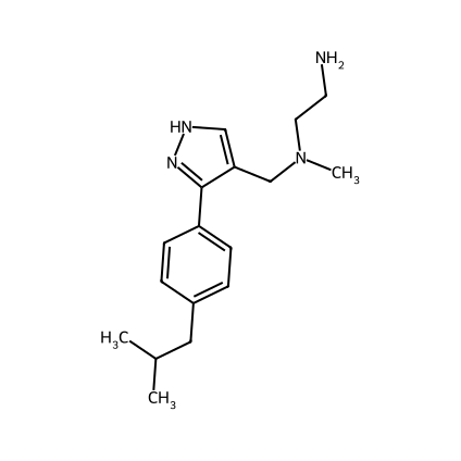 CC(C)Cc1ccc(-c2n[nH]cc2CN(C)CCN)cc1